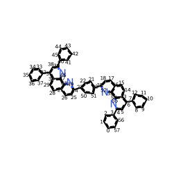 c1ccc(-c2cc(-c3ccccc3)c3ccc4ccc(-c5ccc(-c6ccc7ccc8c(-c9ccccc9)cc(-c9ccccc9)nc8c7n6)cc5)nc4c3n2)cc1